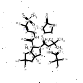 CC(C)(C)[C@H](NC(=O)C(F)(F)F)C(=O)N1C[C@H]2CC(F)(F)C[C@H]2[C@H]1C(=O)N[C@H](/C=C(/F)S(C)(=O)=O)C[C@H]1CCNC1=O